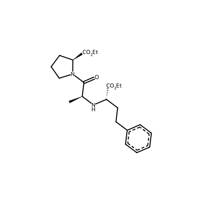 CCOC(=O)[C@H](CCc1ccccc1)N[C@@H](C)C(=O)N1CCC[C@H]1C(=O)OCC